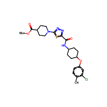 CC(C)(C)OC(=O)C1CCN(c2nnc(C(=O)NC3CCC(Oc4ccc(C#N)c(Cl)c4)CC3)s2)CC1